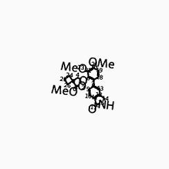 COC(=O)C1(COc2c(-c3ccc4c(c3)CNC4=O)ccc(OC)c2OC)CCC1